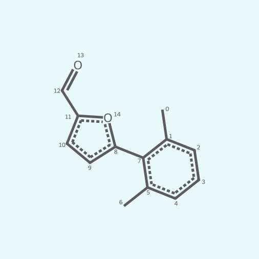 Cc1cccc(C)c1-c1ccc(C=O)o1